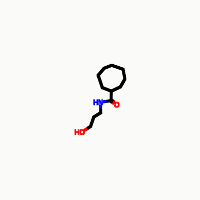 O=C(NCCCO)C1CCCCCCC1